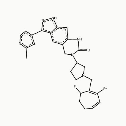 CCC1=C(CN2CCC(N3Cc4cc5c(-c6ccnc(C)c6)n[nH]c5cc4NC3=O)C2)C(F)CCC=C1